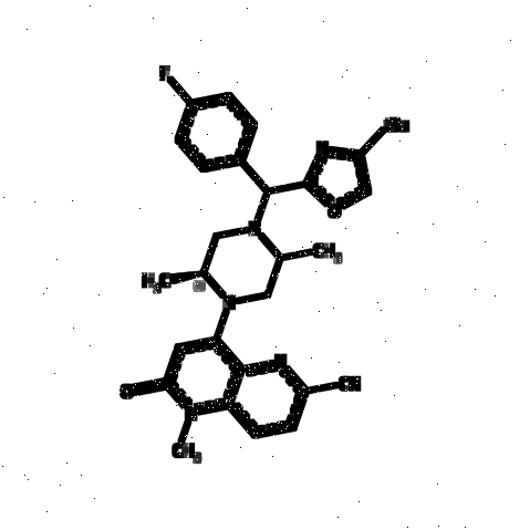 CC1CN(c2cc(=O)n(C)c3ccc(C#N)nc23)[C@@H](C)CN1C(c1ccc(F)cc1)c1nc(C(C)(C)C)co1